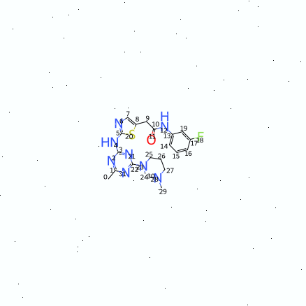 Cc1nc(Nc2ncc(CC(=O)Nc3cccc(F)c3)s2)nc(N(C)CCCN(C)C)n1